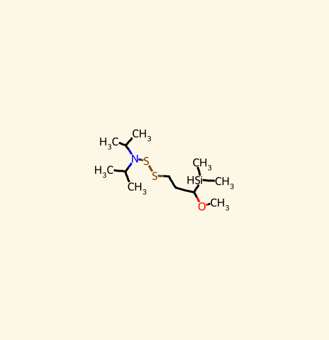 COC(CCSSN(C(C)C)C(C)C)[SiH](C)C